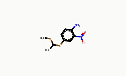 CSC(C)Sc1ccc(N)c([N+](=O)[O-])c1